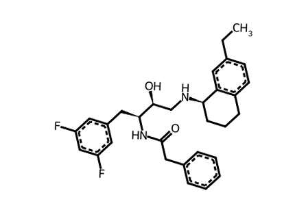 CCc1ccc2c(c1)[C@H](NC[C@H](O)[C@H](Cc1cc(F)cc(F)c1)NC(=O)Cc1ccccc1)CCC2